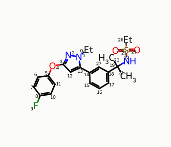 CCn1nc(Oc2ccc(F)cc2)cc1-c1cccc(C(C)(C)NS(=O)(=O)CC)c1